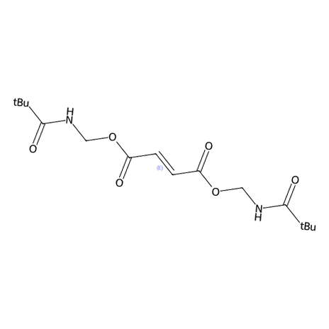 CC(C)(C)C(=O)NCOC(=O)/C=C/C(=O)OCNC(=O)C(C)(C)C